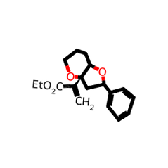 C=C(C(=O)OCC)[C@]12CC(c3ccccc3)OC1CCCO2